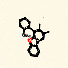 COc1ccccc1-c1c(C)c(C)cc2c1oc1ccccc12